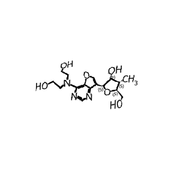 C[C@H]1[C@@H](O)[C@H](c2coc3c(N(CCO)CCO)ncnc23)O[C@@H]1CO